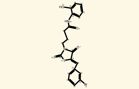 O=C(CCCN1C(=O)/C(=C/c2cccc(Br)c2)SC1=S)Nc1ccccc1O